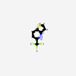 FC(F)(F)c1[c]cc2sccc2n1